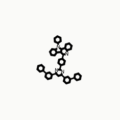 c1ccc(-c2cccc(-c3cc(-c4cccc(-c5ccccc5)c4)nc(-c4ccc(-c5nc6ccccc6c6c5c5ccccc5n6-c5ccccc5)cc4)n3)c2)cc1